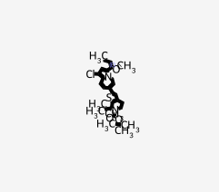 CC/C=C(/OC)c1cc(Cl)c2n1CC=C(c1cc3c(s1)C(C(C)(C)C)N(C(=O)OC(C)(C)C)CC3)C=C2